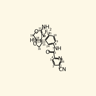 N#Cc1ccc(C(=O)Nc2ccc(F)c([C@]34CCO[C@H]3COC(N)=N4)c2)nc1